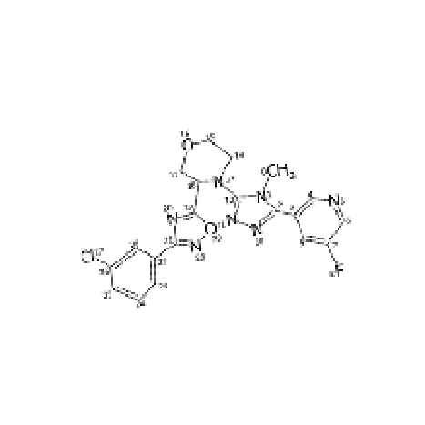 Cn1c(-c2cncc(F)c2)nnc1N1CCOCC1c1nc(-c2cccc(Cl)c2)no1